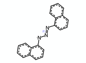 c1ccc2c([N]/N=N/c3cccc4ccccc34)cccc2c1